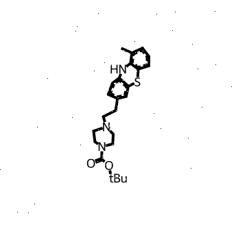 Cc1cccc2c1Nc1ccc(CCN3CCN(C(=O)OC(C)(C)C)CC3)cc1S2